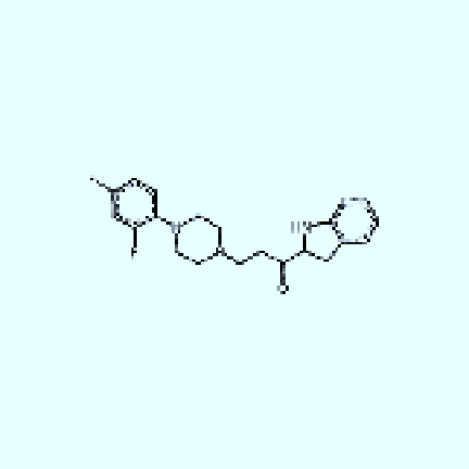 O=C(CCN1CCN(c2ccc(F)cc2F)CC1)C1Cc2ccccc2N1